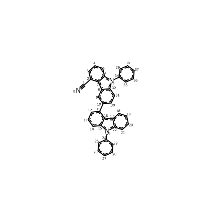 N#Cc1cccc2c1c1cc(-c3cccc4c3c3ccccc3n4-c3ccccc3)ccc1n2-c1ccccc1